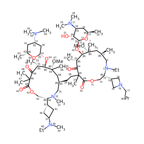 CCN1C[C@H](C)C[C@@](C)(OC)[C@H](O[C@@H]2O[C@H](C)C[C@H](N(C)C)[C@H]2O)[C@@H](C)C(=O)C(C)(CC[C@H]2CN(C)[C@H]([C@H]3C[C@H](N(C)CC)C3)COC(=O)C(C)(C)C(=O)[C@H](C)[C@@H](O[C@H]3C[C@@H](N(C)C)C[C@@H](C)O3)[C@](C)(OC)C2)C(=O)OC[C@H]1C1CN(CC(C)C)C1